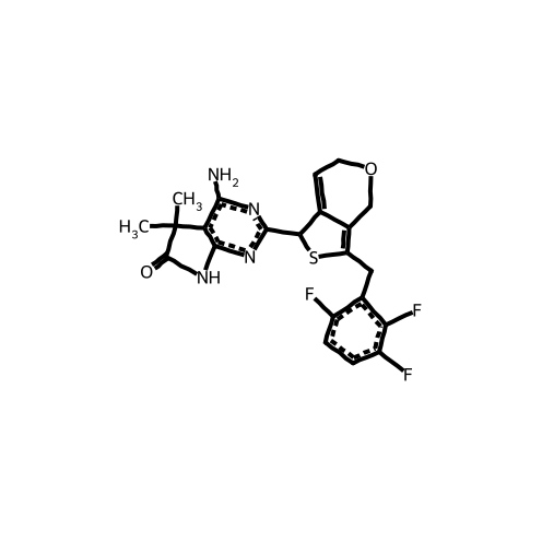 CC1(C)C(=O)Nc2nc(C3SC(Cc4c(F)ccc(F)c4F)=C4COCC=C43)nc(N)c21